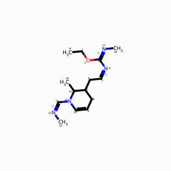 CCOC(/N=C\CC1CC=CN(/C=N\C)C1C)=N/C